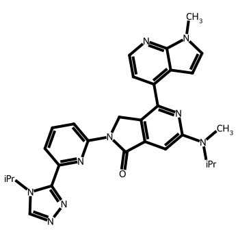 CC(C)N(C)c1cc2c(c(-c3ccnc4c3ccn4C)n1)CN(c1cccc(-c3nncn3C(C)C)n1)C2=O